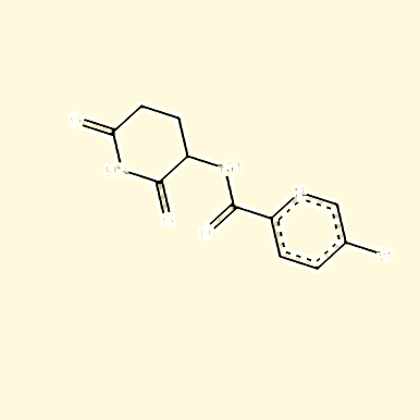 O=C1CCC(NC(=O)c2ccc(Br)cn2)C(=O)N1